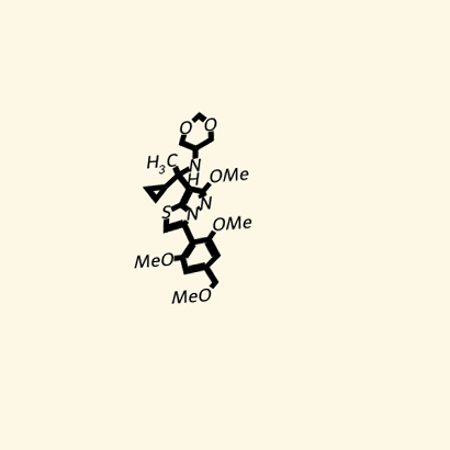 COCc1cc(OC)c(-c2csc3c(C(C)(NC4COCOC4)C4CC4)c(OC)nn23)c(OC)c1